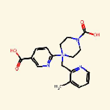 Cc1cccnc1C[N+]1(c2ccc(C(=O)O)cn2)CCN(C(=O)O)CC1